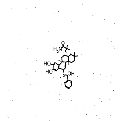 CC(C)(C[C@@H]1C(C)(C)CC[C@]2(C)C3=CC(SC(O)c4ccccc4)c4cc(O)c(O)cc4[C@]3(C)CC[C@@]12C)C(N)=O